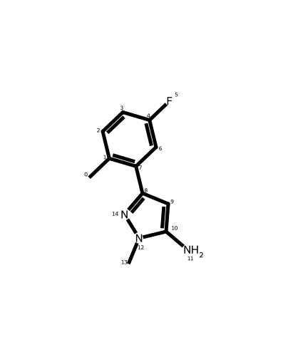 Cc1ccc(F)cc1-c1cc(N)n(C)n1